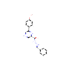 COc1ccc(-c2cncc(C(=O)NN=Cc3ccccc3)n2)cc1